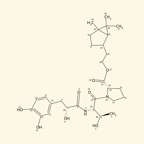 C[C@@H](O)[C@H](NC(=O)[C@H](O)Cc1ccc(O)c(O)c1)C(=O)N1CCC[C@H]1C(=O)OCCC1CCC2(C)C1C2(C)C